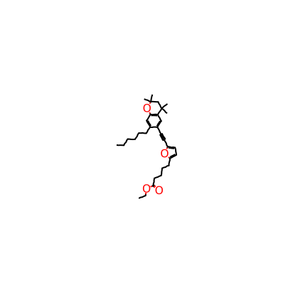 CCCCCCc1cc2c(cc1C#Cc1ccc(CCCCC(=O)OCC)o1)C(C)(C)CC(C)(C)O2